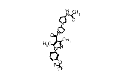 CC(=O)NC1CCN(C2CCN(C(=O)c3c(C)nn(-c4cccc(OC(F)(F)F)c4)c3C)C2)C1